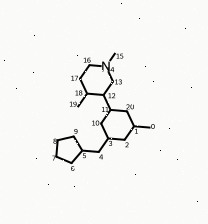 CC1CC(CC2CCCC2)CC(C2CN(C)CCC2C)C1